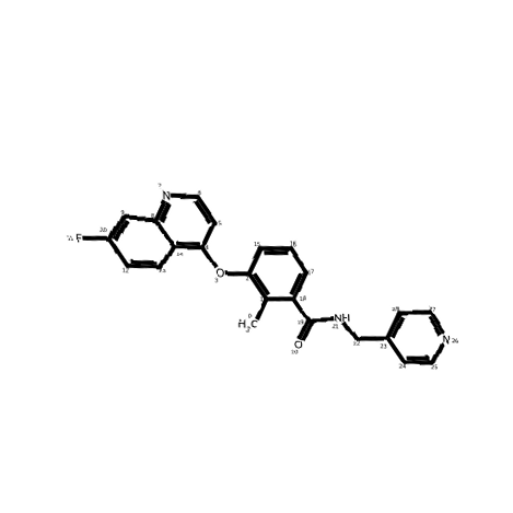 Cc1c(Oc2ccnc3cc(F)ccc23)cccc1C(=O)NCc1ccncc1